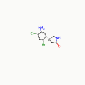 Nc1cc([C@@H]2CNC(=O)C2)c(Br)cc1Cl